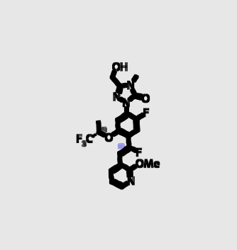 COc1ncccc1/C=C(\F)c1cc(F)c(-n2nc(CO)n(C)c2=O)cc1O[C@@H](C)C(F)(F)F